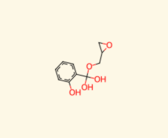 Oc1ccccc1C(O)(O)OCC1CO1